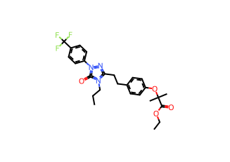 CCCn1c(CCc2ccc(OC(C)(C)C(=O)OCC)cc2)nn(-c2ccc(C(F)(F)F)cc2)c1=O